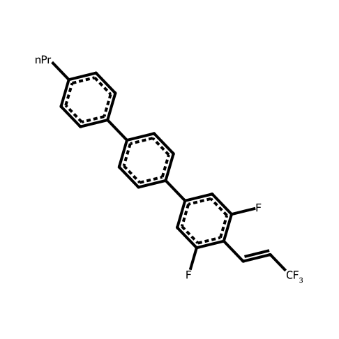 CCCc1ccc(-c2ccc(-c3cc(F)c(/C=C/C(F)(F)F)c(F)c3)cc2)cc1